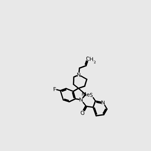 C=CCN1CCC2(CC1)CN(C(=O)c1cccnc1SC)c1ccc(F)cc12